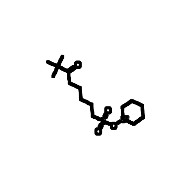 CC(C)(C)C(=O)CCCCCS(=O)(=O)O[S+]1CCCCC1